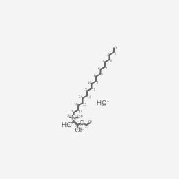 CCCCCCCCCCCCCCCCCCC[N+](C)(C)C(O)=C(O)OCC.[OH-]